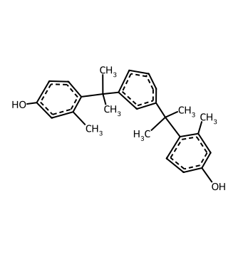 Cc1cc(O)ccc1C(C)(C)c1cccc(C(C)(C)c2ccc(O)cc2C)c1